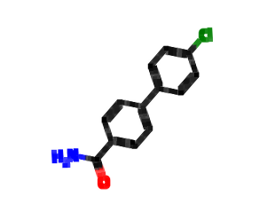 NC(=O)c1ccc(-c2ccc(Cl)cc2)cc1